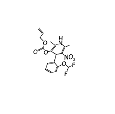 C=CCOC(=O)OC1=C(C)NC(C)=C([N+](=O)[O-])C1c1ccccc1OC(F)F